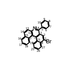 Brc1cc2c(-c3ccccc3)nc3ccc4ccccc4c3c2c2ccccc12